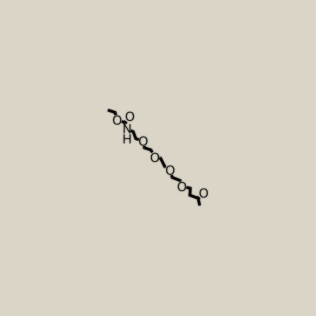 CCOC(=O)NCCOCCOCCOCCOCCC(C)=O